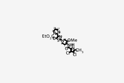 CCOC(=O)Oc1sc(N2CC[C@@H](NC(=O)c3[nH]c(C)c(Cl)c3Cl)[C@@H](OC)C2)nc1-c1ncccn1